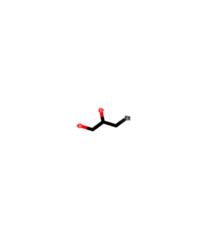 CCCC([O])C[O]